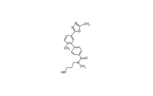 Cc1nnc(-c2ccc(C)c(-c3ccc(C(=O)N(C)CCCO)cc3)c2)o1